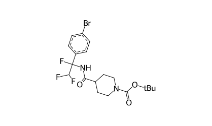 CC(C)(C)OC(=O)N1CCC(C(=O)NC(F)(c2ccc(Br)cc2)C(F)F)CC1